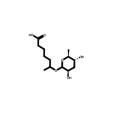 CC(CCCCC(=O)O)OC1O[C@@H](C)[C@H](O)C[C@H]1O